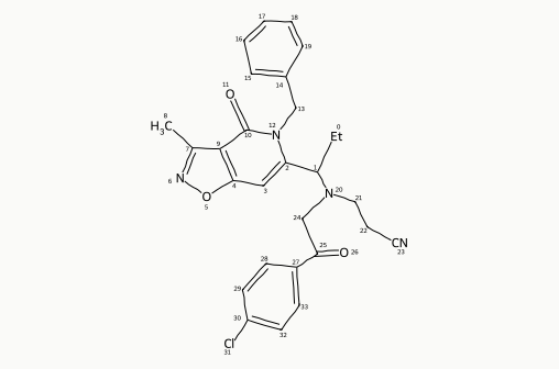 CCC(c1cc2onc(C)c2c(=O)n1Cc1ccccc1)N(CCC#N)CC(=O)c1ccc(Cl)cc1